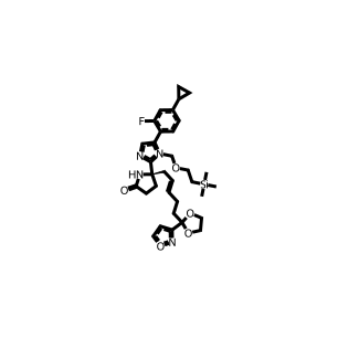 C[Si](C)(C)CCOCn1c(-c2ccc(C3CC3)cc2F)cnc1[C@]1(C/C=C/CCC2(c3ccon3)OCCO2)CCC(=O)N1